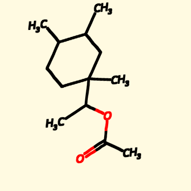 CC(=O)OC(C)C1(C)CCC(C)C(C)C1